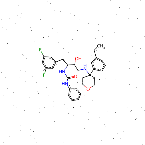 CCc1cccc(C2(NC[C@@H](O)[C@H](Cc3cc(F)cc(F)c3)NC(=O)Nc3ccccc3)CCOCC2)c1